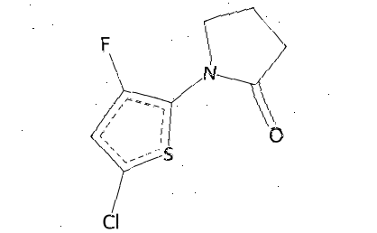 O=C1CCCN1c1sc(Cl)cc1F